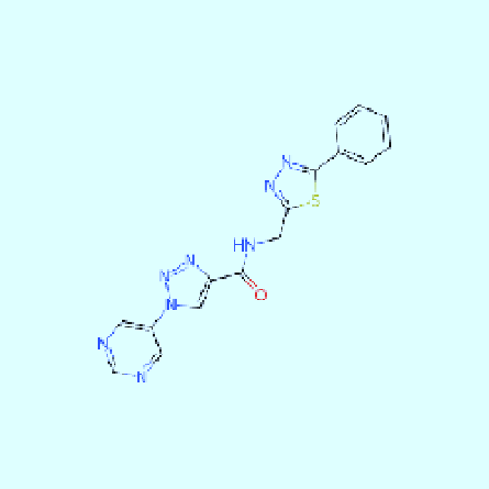 O=C(NCc1nnc(-c2ccccc2)s1)c1cn(-c2cncnc2)nn1